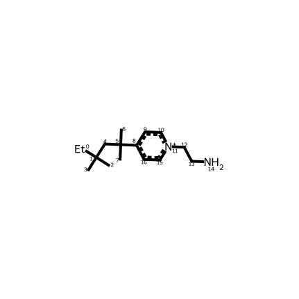 CCC(C)(C)CC(C)(C)c1cc[n+](CCN)cc1